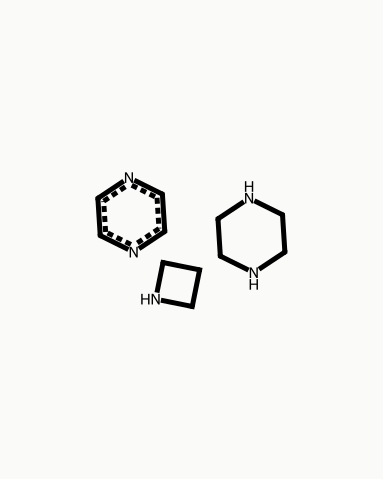 C1CNC1.C1CNCCN1.c1cnccn1